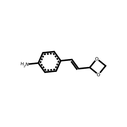 Nc1ccc(/C=C/C2OCO2)cc1